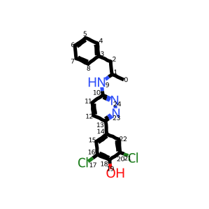 CC(Cc1ccccc1)Nc1ccc(-c2cc(Cl)c(O)c(Cl)c2)nn1